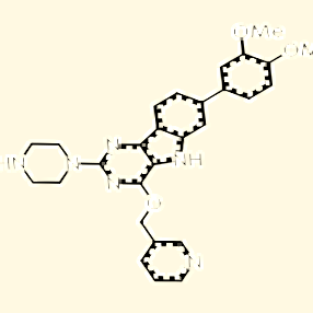 COc1ccc(-c2ccc3c(c2)[nH]c2c(OCc4cccnc4)nc(N4CCNCC4)nc23)cc1OC